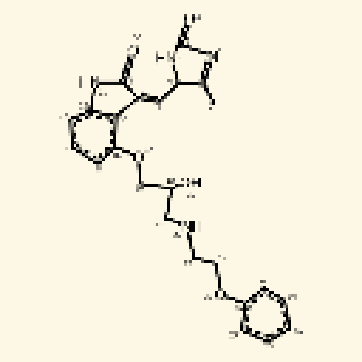 CC1=NC(=O)NC1C=C1C(=O)Nc2cccc(OCC(O)CNCCOc3ccccc3)c21